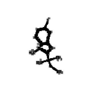 CCC(C)(C)c1nc2cc(F)ccc2n1C